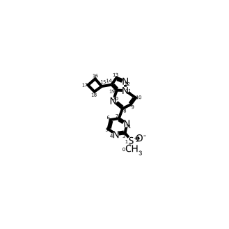 C[S+]([O-])c1nccc(-c2ccn3ncc(C4CCC4)c3n2)n1